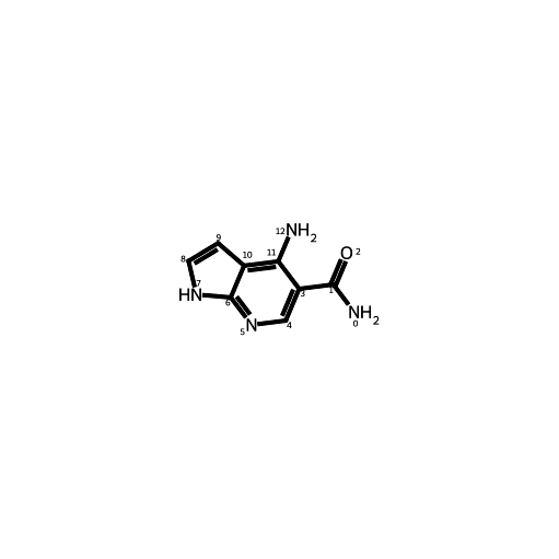 NC(=O)c1cnc2[nH]ccc2c1N